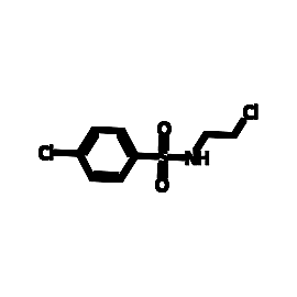 O=S(=O)(NCCCl)c1ccc(Cl)cc1